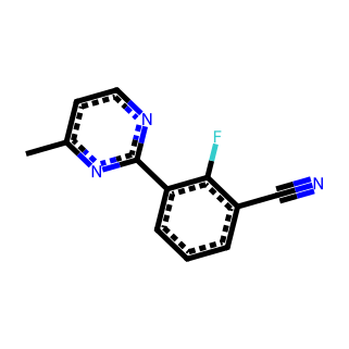 Cc1ccnc(-c2cccc(C#N)c2F)n1